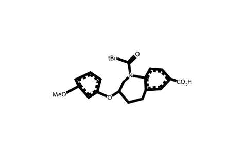 COc1cccc(OC2CCc3cc(C(=O)O)ccc3N(C(=O)C(C)(C)C)C2)c1